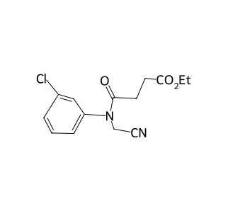 CCOC(=O)CCC(=O)N(CC#N)c1cccc(Cl)c1